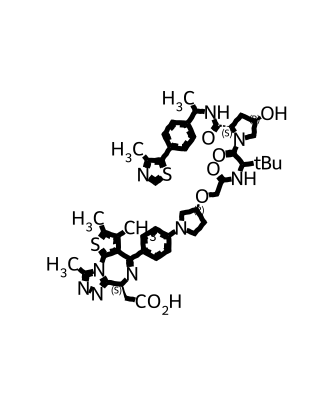 Cc1ncsc1-c1ccc(C(C)NC(=O)[C@@H]2C[C@@H](O)CN2C(=O)C(NC(=O)CO[C@@H]2CCN(c3ccc(C4=N[C@@H](CC(=O)O)c5nnc(C)n5-c5sc(C)c(C)c54)cc3)C2)C(C)(C)C)cc1